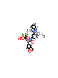 CN1CC[C@@H](NC(=O)Cc2ccc3c(c2)CCO3)C[C@@H]1c1nc2ccccc2[nH]1.O=C(O)C(F)(F)F